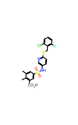 Cc1cc(S(=O)(=O)Nc2ccc(SCc3c(F)cccc3Cl)nc2)cc(C(=O)O)c1C